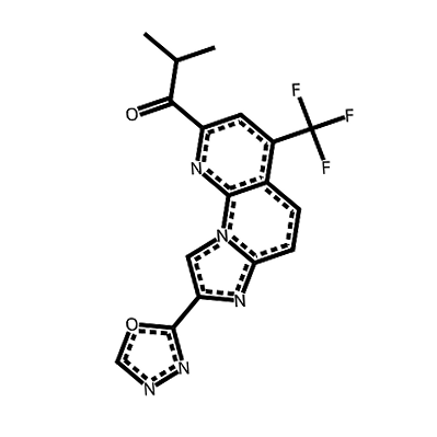 CC(C)C(=O)c1cc(C(F)(F)F)c2ccc3nc(-c4nnco4)cn3c2n1